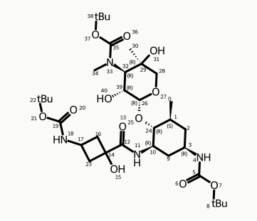 C[C@H]1C[C@@H](NC(=O)OC(C)(C)C)C[C@@H](NC(=O)C2(O)CC(NC(=O)OC(C)(C)C)C2)[C@@H]1O[C@H]1OC[C@](C)(O)[C@H](N(C)C(=O)OC(C)(C)C)[C@H]1O